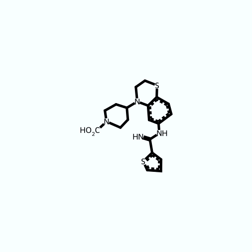 N=C(Nc1ccc2c(c1)N(C1CCN(C(=O)O)CC1)CCS2)c1cccs1